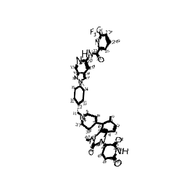 Cc1ccc2c(c1C1CCN(C[C@H]3CC[C@H](n4cc5cc(NC(=O)c6cccc(C(F)(F)F)n6)ncc5n4)CC3)CC1)n(C)c(=O)n2C1CCC(=O)NC1=O